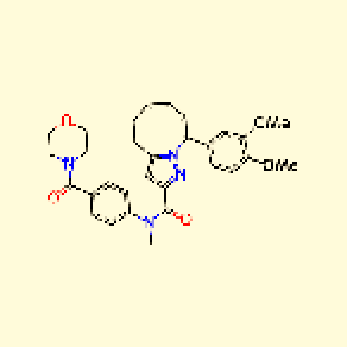 COc1ccc(/C2=C/C=C\CCc3cc(C(=O)N(C)c4ccc(C(=O)N5CCOCC5)cc4)nn32)cc1OC